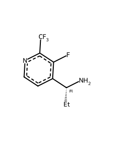 CC[C@@H](N)c1ccnc(C(F)(F)F)c1F